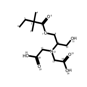 CCC(C)(C)C(=O)OCC(CO)N(CC(=O)O)CC(=O)O